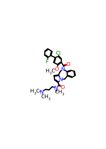 COc1cc(-c2ccccc2F)c(Cl)cc1C(=O)N1Cc2ccc(C(=O)N(C)CCCN(C)C)n2Cc2ccccc21